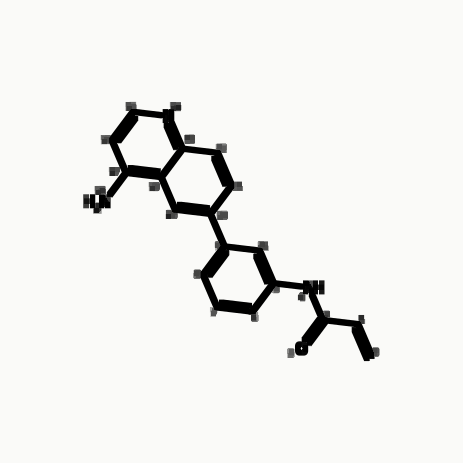 C=CC(=O)Nc1cccc(-c2ccc3nccc(N)c3c2)c1